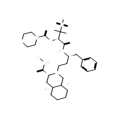 CC(C)(C)NC(=O)[C@@H]1C[C@@H]2CCCC[C@@H]2CN1C[C@@H](O)[C@H](Cc1ccccc1)NC(=O)[C@@H](NC(=O)N1CCSCC1)C(C)(C)S(C)(=O)=O